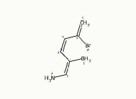 BC(/C=C\C(=C)Br)=C/N